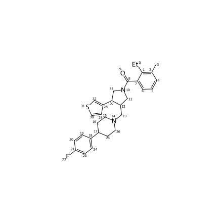 CCc1c(C)cccc1C(=O)N1CC(CN2CCC(c3ccc(F)cc3)CC2)C(c2ccsc2)C1